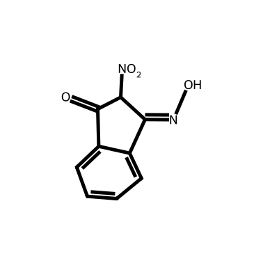 O=C1c2ccccc2/C(=N/O)C1[N+](=O)[O-]